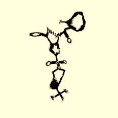 NC(=O)c1cc(S(=O)(=O)N2CC=C(C(F)(F)F)CC2)sc1NC(=O)c1ccccc1F